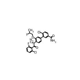 CC(F)COc1cc(-c2cc(C(N)=O)ccc2Cl)ccc1N(C)C(=O)c1c(F)cccc1Cl